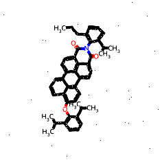 CCCc1cccc(C(C)C)c1N1C(=O)c2ccc3c4cccc5c(Oc6c(C(C)C)cccc6C(C)C)ccc(c6ccc(c2c36)C1=O)c54